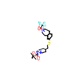 CC(C)(C)OC(=O)N1CCC(CCSc2ccc3c(c2)CCN(C(=O)C(F)(F)F)CC3)CC1